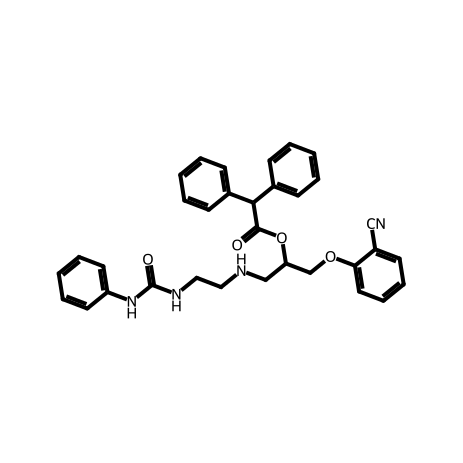 N#Cc1ccccc1OCC(CNCCNC(=O)Nc1ccccc1)OC(=O)C(c1ccccc1)c1ccccc1